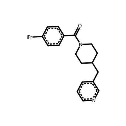 CC(C)c1ccc(C(=O)N2CCC(Cc3cccnc3)CC2)cc1